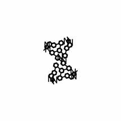 Cc1cn2ccc3cc(-c4ccccc4-c4cc(-c5ccccc5-c5ccc(-c6ccc(-c7ccccc7-c7cc(-c8ccccc8-c8ccc9c(ccn%10cc(C)nc9%10)c8)cc(-c8ccccc8-c8ccc9c(ccn%10cc(C)nc9%10)c8)c7)cn6)nc5)cc(-c5ccccc5-c5ccc6c(ccn7cc(C)nc67)c5)c4)ccc3c2n1